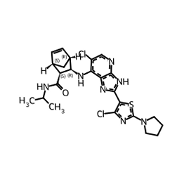 CC(C)NC(=O)[C@@H]1[C@H](Nc2c(Cl)cnc3[nH]c(-c4sc(N5CCCC5)nc4Cl)nc23)[C@H]2C=C[C@@H]1C2